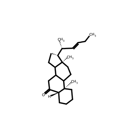 CC/C=C/[C@@H](C)[C@H]1CCC2C3CC(=O)[C@H]4CCCC[C@]4(C)C3CC[C@@]21C